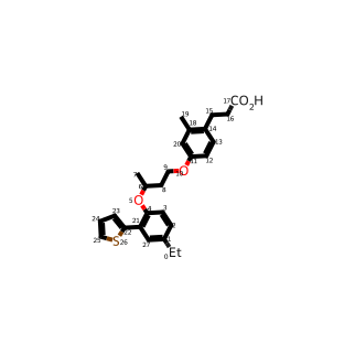 CCc1ccc(OC(C)CCOc2ccc(CCC(=O)O)c(C)c2)c(-c2cccs2)c1